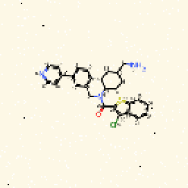 NCC1CCC(N(Cc2cccc(-c3ccncc3)c2)C(=O)c2sc3ccccc3c2Cl)CC1